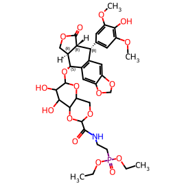 CCOP(=O)(CCNC(=O)C1OCC2OC(O[C@@H]3c4cc5c(cc4[C@@H](c4cc(OC)c(O)c(OC)c4)[C@H]4C(=O)OC[C@@H]43)OCO5)C(O)C(O)C2O1)OCC